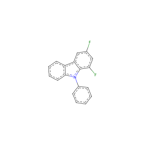 Fc1cc(F)c2c(c1)c1ccccc1n2-c1ccccc1